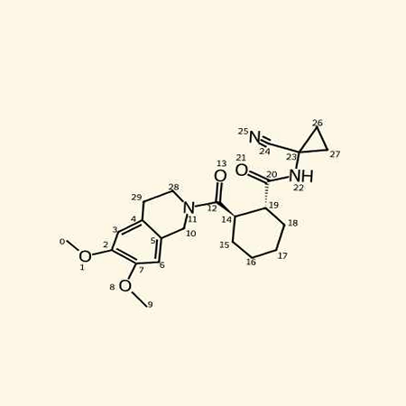 COc1cc2c(cc1OC)CN(C(=O)[C@@H]1CCCC[C@H]1C(=O)NC1(C#N)CC1)CC2